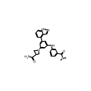 CN(C)C(=O)c1cccc(Nc2cc(-c3cccc4[nH]ncc34)cc(N3CC(C(N)=O)C3)c2)c1